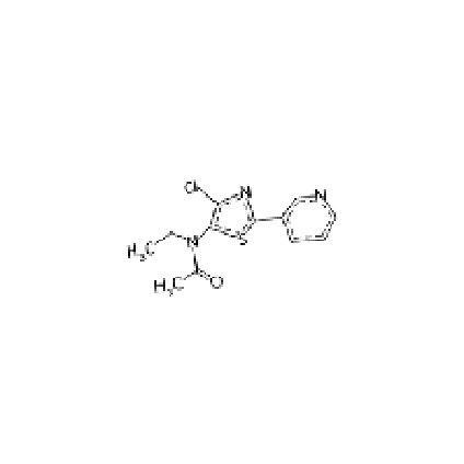 CCN(C(C)=O)c1sc(-c2cccnc2)nc1Cl